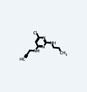 C#CCNc1cc(Cl)nc(NCCC)n1